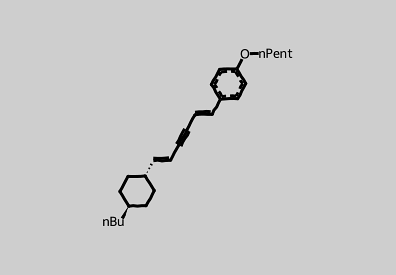 CCCCCOc1ccc(C=CC#CC=C[C@H]2CC[C@H](CCCC)CC2)cc1